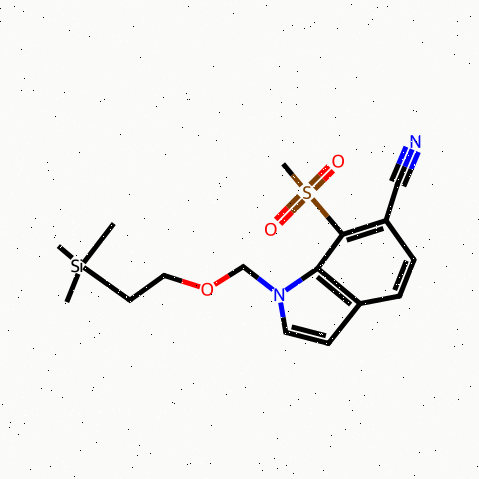 C[Si](C)(C)CCOCn1ccc2ccc(C#N)c(S(C)(=O)=O)c21